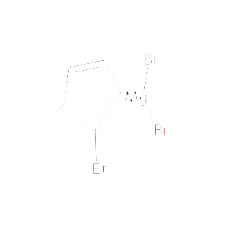 CCc1c[c]cs1.[Br][Mg][Br]